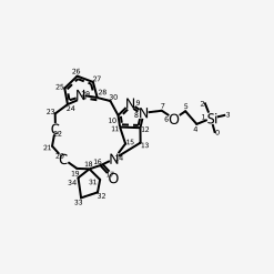 C[Si](C)(C)CCOCn1nc2c3c1CN(C3)C(=O)C1(CCCCCc3cccc(n3)C2)CCCC1